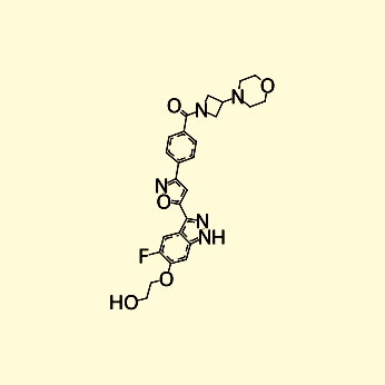 O=C(c1ccc(-c2cc(-c3n[nH]c4cc(OCCO)c(F)cc34)on2)cc1)N1CC(N2CCOCC2)C1